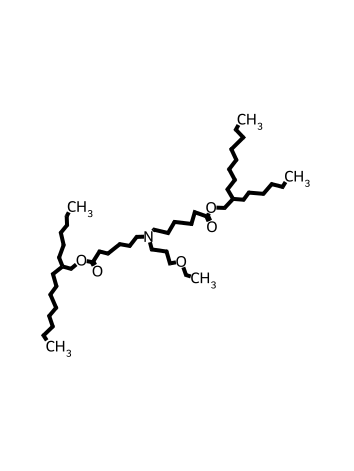 CCCCCCCCC(CCCCCC)COC(=O)CCCCCN(CCCCCC(=O)OCC(CCCCCC)CCCCCCCC)CCCOCC